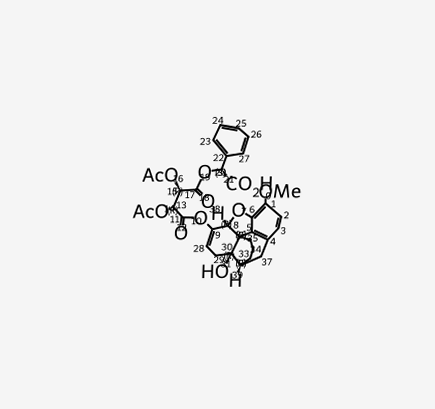 COc1ccc2c3c1O[C@H]1C(OC(=O)[C@H](OC(C)=O)[C@@H](OC(C)=O)C(=O)O[C@H](C(=O)O)c4ccccc4)=CC[C@@]4(O)[C@H](CCC[C@]314)C2